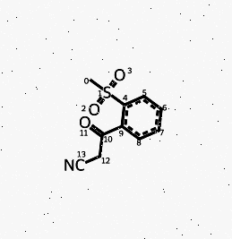 CS(=O)(=O)c1ccccc1C(=O)CC#N